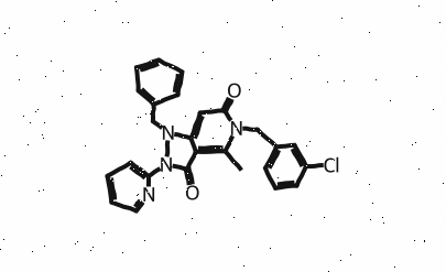 Cc1c2c(=O)n(-c3ccccn3)n(Cc3ccccc3)c2cc(=O)n1Cc1cccc(Cl)c1